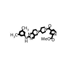 COC(=O)c1cc(C(=O)N2CCC(N3CCc4nc(Nc5cc(C)cc(C)c5)ncc4C3)CC2)ccn1